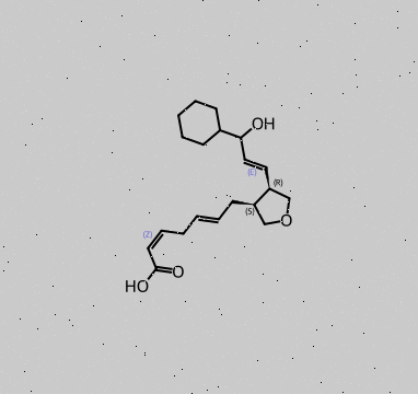 O=C(O)/C=C\CC=CC[C@@H]1COC[C@@H]1/C=C/C(O)C1CCCCC1